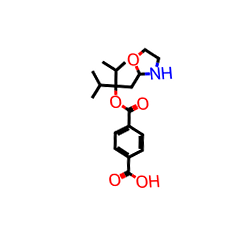 CC(C)C(CC1NCCO1)(OC(=O)c1ccc(C(=O)O)cc1)C(C)C